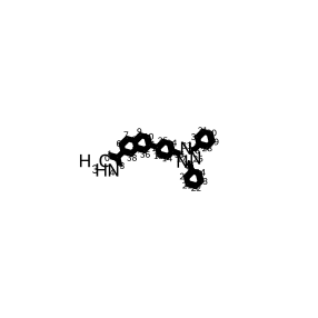 C/C=C(\C=N)c1ccc2ccc(-c3ccc(-c4nc(-c5ccccc5)nc(-c5ccccc5)n4)cc3)cc2c1